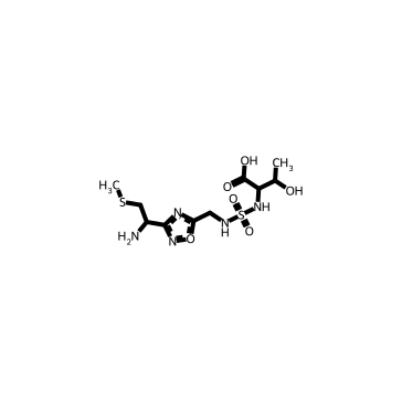 CSCC(N)c1noc(CNS(=O)(=O)NC(C(=O)O)C(C)O)n1